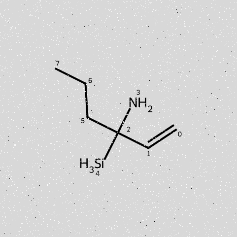 C=CC(N)([SiH3])CCC